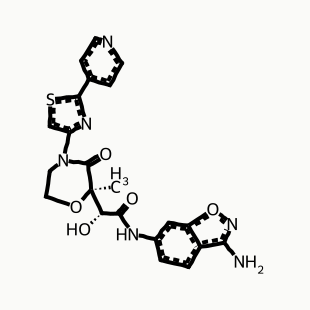 C[C@]1([C@@H](O)C(=O)Nc2ccc3c(N)noc3c2)OCCN(c2csc(-c3ccncc3)n2)C1=O